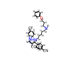 CCOC(=O)/C(=C(\C)N1C2C=CC(C(F)(F)F)=CC21)[C@H](NCCCCCN(C)CCCOc1ccccc1)c1ccc(C#N)cc1